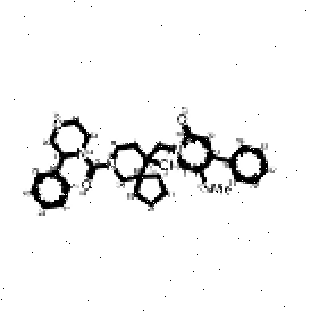 CSc1cn(CC2(O)CCN(C(=O)N3CCOCC3c3ccccc3)CC23CCCC3)c(=O)cc1-c1ccccc1